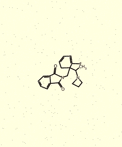 CC(N1CCC1)C1(CN2C(=O)c3ccccc3C2=O)CC=CC=C1F